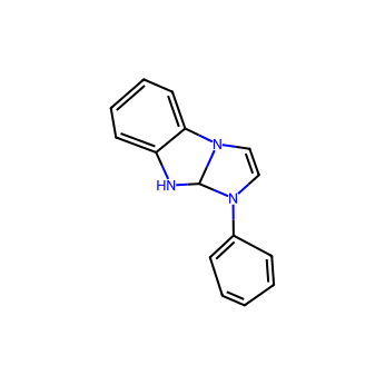 C1=CN2c3ccccc3NC2N1c1ccccc1